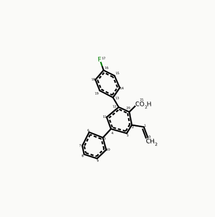 C=Cc1cc(-c2ccccc2)cc(-c2ccc(F)cc2)c1C(=O)O